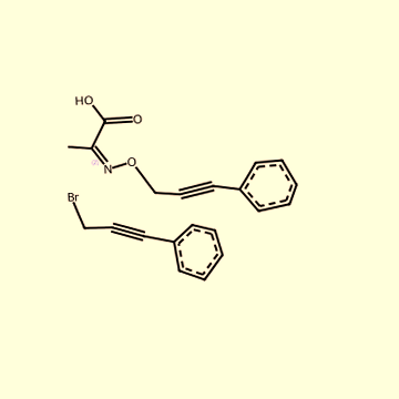 BrCC#Cc1ccccc1.C/C(=N/OCC#Cc1ccccc1)C(=O)O